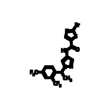 CC(c1ccc(C(F)(F)F)cc1C(F)(F)F)n1cc(NC(=O)c2cnc(Br)s2)cn1